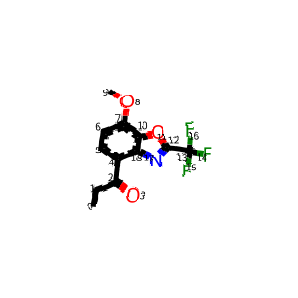 CCC(=O)c1ccc(OC)c2oc(C(F)(F)F)nc12